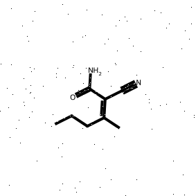 CCCC(C)=C(C#N)C(N)=O